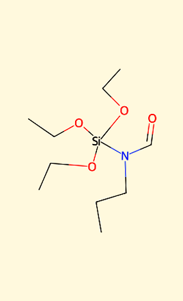 CCCN(C=O)[Si](OCC)(OCC)OCC